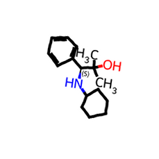 CC(C)(O)[C@@H](NC1CCCCC1)c1ccccc1